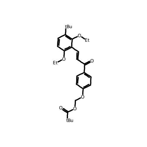 CCOc1ccc(C(C)(C)C)c(OCC)c1C=CC(=O)c1ccc(OCOC(=O)C(C)(C)C)cc1